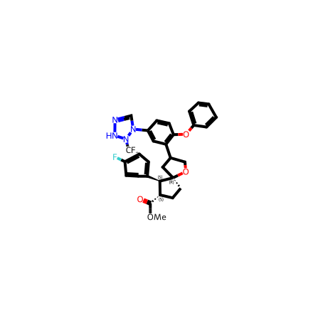 COC(=O)[C@H]1CC[C@@]2(CC(c3cc(N4C=NNN4C(F)(F)F)ccc3Oc3ccccc3)CO2)[C@@H]1c1ccc(F)cc1